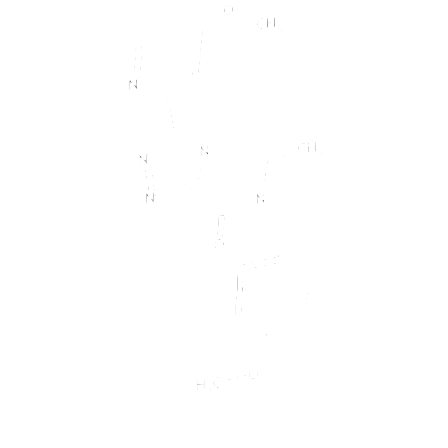 COc1ccc(CN2C(=O)c3nnc(-c4cc(OC)ccn4)n3CC2C)cc1